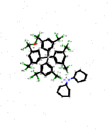 C1CCC([NH2+]C2CCCCC2)CC1.FC(F)(F)c1cc([B-](c2cc(C(F)(F)F)cc(C(F)(F)F)c2)(c2cc(C(F)(F)F)cc(C(F)(F)F)c2)c2cc(C(F)(F)F)cc(C(F)(F)F)c2)cc(C(F)(F)F)c1